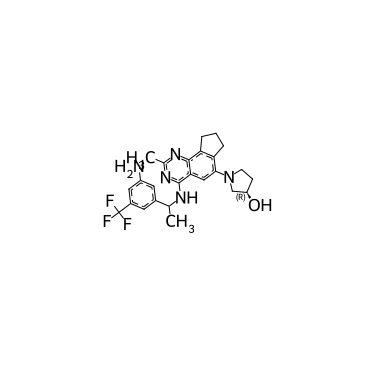 Cc1nc(NC(C)c2cc(N)cc(C(F)(F)F)c2)c2cc(N3CC[C@@H](O)C3)c3c(c2n1)CCC3